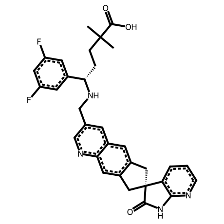 CC(C)(CC[C@H](NCc1cnc2cc3c(cc2c1)C[C@@]1(C3)C(=O)Nc2ncccc21)c1cc(F)cc(F)c1)C(=O)O